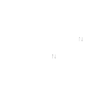 C1=Nc2cccc3c4ccccc4n(c23)C1